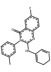 Cc1cccc(-n2c(NC3=CCCN=C3)nc3ccc(F)cc3c2=O)c1